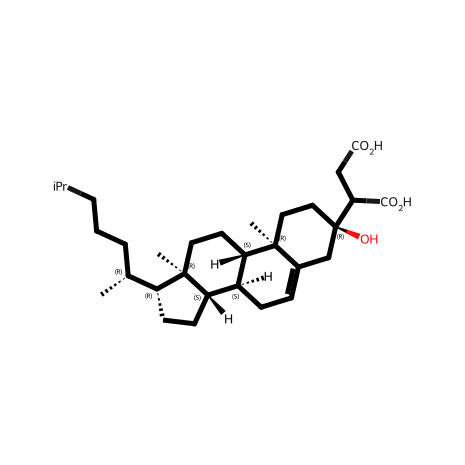 CC(C)CCC[C@@H](C)[C@H]1CC[C@H]2[C@@H]3CC=C4C[C@@](O)(C(CC(=O)O)C(=O)O)CC[C@]4(C)[C@H]3CC[C@]12C